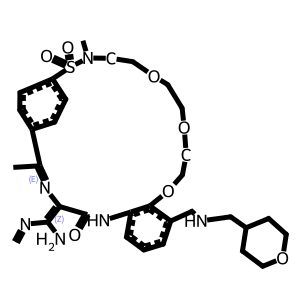 C=N/C(N)=C1\N=C(/C)c2ccc(cc2)S(=O)(=O)N(C)CCOCCOCCOc2c(CNCC3CCOCC3)cccc2NC1=O